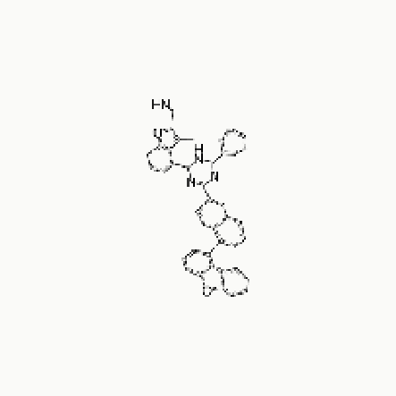 Cc1c(C=N)oc2cccc(C3N=C(c4ccc5c(-c6cccc7oc8ccccc8c67)cccc5c4)N=C(c4ccccc4)N3)c12